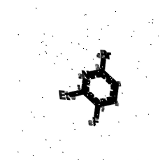 CCc1nc(Br)ccc1F